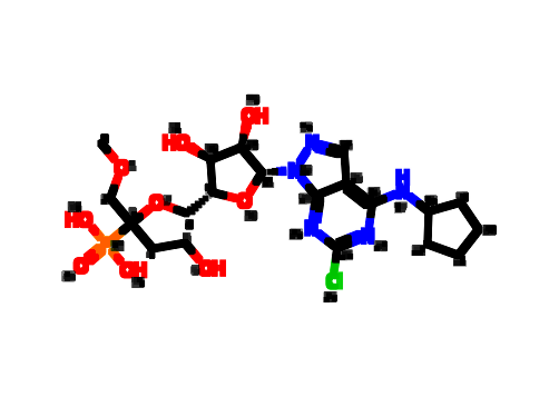 COCC(CCO)(OC[C@H]1O[C@@H](n2ncc3c(NC4CCCC4)nc(Cl)nc32)[C@H](O)[C@@H]1O)P(=O)(O)O